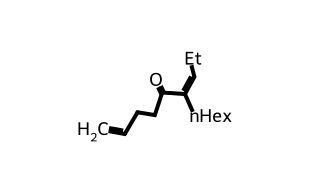 C=CCCC(=O)C(=CCC)CCCCCC